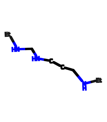 CCNCCCNCNCC